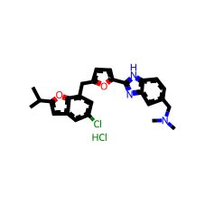 CC(C)c1cc2cc(Cl)cc(Cc3ccc(-c4nc5cc(CN(C)C)ccc5[nH]4)o3)c2o1.Cl